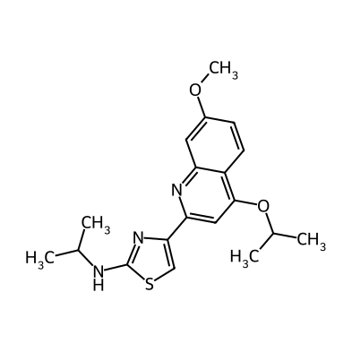 COc1ccc2c(OC(C)C)cc(-c3csc(NC(C)C)n3)nc2c1